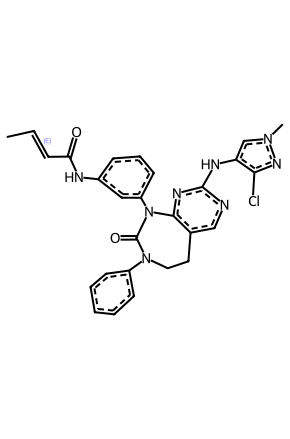 C/C=C/C(=O)Nc1cccc(N2C(=O)N(c3ccccc3)CCc3cnc(Nc4cn(C)nc4Cl)nc32)c1